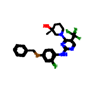 C[C@]1(O)CCCN(c2nc(Nc3ccc(SCc4ccccc4)cc3F)ncc2C(F)(F)F)C1